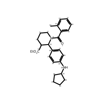 CCOC(=O)C1CCCN(C(=O)c2ccccc2C)C1c1ccc(NC2CCCC2)cc1